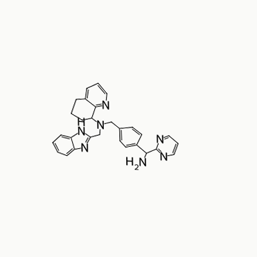 NC(c1ccc(CN(Cc2nc3ccccc3[nH]2)C2CCCc3cccnc32)cc1)c1ncccn1